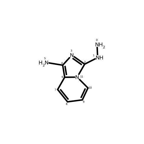 NNc1nc(N)c2ccccn12